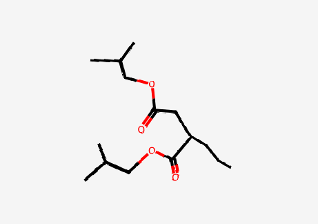 CCCC(CC(=O)OCC(C)C)C(=O)OCC(C)C